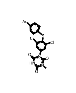 CC(=O)c1ccc(Sc2c(Cl)cc(-n3c(=O)[nH]c(=O)n(C)c3=O)cc2Cl)cc1